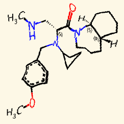 CNC[C@H](C(=O)N1CCC[C@H]2CCCC[C@@H]21)N(Cc1ccc(OC)cc1)C1CC1